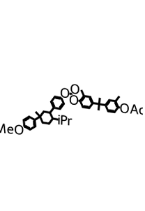 COc1ccc(C2(C)CCC(C(C)C)C(c3ccc(OC(=O)Oc4ccc(C(C)(C)c5ccc(OC(C)=O)c(C)c5)cc4C)cc3)C2)cc1